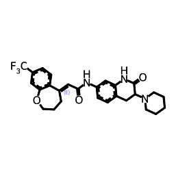 O=C(/C=C1\CCCOc2cc(C(F)(F)F)ccc21)Nc1ccc2c(c1)NC(=O)C(N1CCCCC1)C2